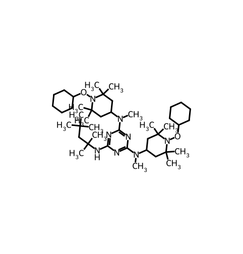 CN(c1nc(NC(C)(C)CC(C)(C)C)nc(N(C)C2CC(C)(C)N(OC3CCCCC3)C(C)(C)C2)n1)C1CC(C)(C)N(OC2CCCCC2)C(C)(C)C1